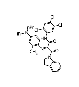 CCCN(c1ccc(N=C(C(=O)Nc2cc(Cl)c(Cl)cc2Cl)C(=O)N2CCc3ccccc32)c(C)c1)C(C)C